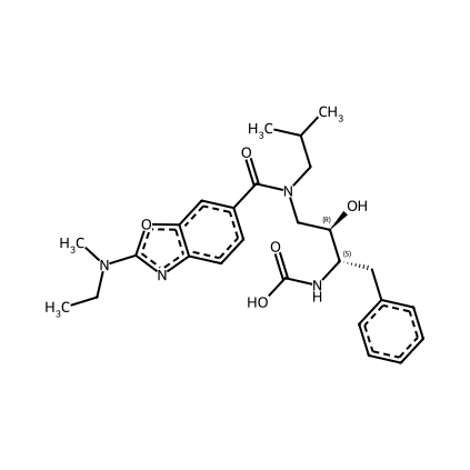 CCN(C)c1nc2ccc(C(=O)N(CC(C)C)C[C@@H](O)[C@H](Cc3ccccc3)NC(=O)O)cc2o1